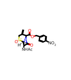 C=C1C[S+]([O-])[C@@H]2C(NC(C)=O)C(=O)N2C1C(=O)OCc1ccc([N+](=O)[O-])cc1